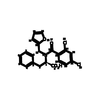 O=C(O)[C@H](Cc1ccccc1)N(Cc1ccco1)C(=O)c1ccc(Cl)cc1Cl